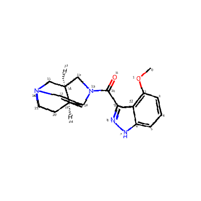 COc1cccc2[nH]nc(C(=O)N3C[C@@H]4CN5C=C3[C@H]4CC5)c12